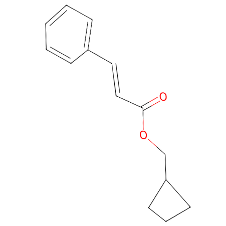 O=C(/C=C/c1ccccc1)OCC1CCC1